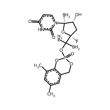 BC(B)(OP1(=O)OCc2cc(C)cc(C)c2O1)[C@]1(F)C[C@@H](O)[C@](B)(n2ccc(=O)[nH]c2=O)O1